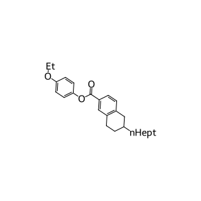 CCCCCCCC1CCc2cc(C(=O)Oc3ccc(OCC)cc3)ccc2C1